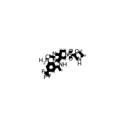 CC(Nc1nc(Cl)nc2c1CN(S(=O)(=O)C1CNCCO1)CC2)c1cc(N)cc(C(F)(F)F)c1